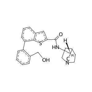 O=C(N[C@H]1CN2CCC1CC2)c1cc2cccc(-c3ccccc3CO)c2s1